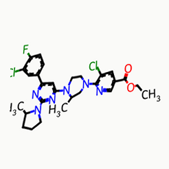 CCOC(=O)c1cnc(N2CCN(c3cc(-c4ccc(F)c(Cl)c4)nc(N4CCCC4C)n3)C(C)C2)c(Cl)c1